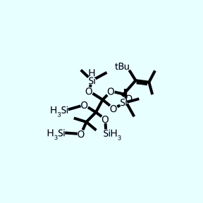 CC(C)=C(C(=O)OC(O[SiH](C)C)(O[Si](C)(C)C)C(O[SiH3])(O[SiH3])C(C)(C)O[SiH3])C(C)(C)C